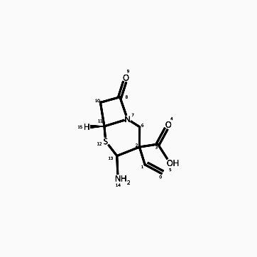 C=CC1(C(=O)O)CN2C(=O)C[C@H]2SC1N